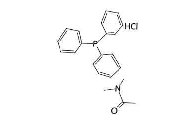 CC(=O)N(C)C.Cl.c1ccc(P(c2ccccc2)c2ccccc2)cc1